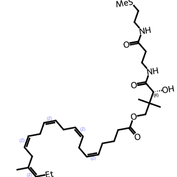 CC/C=C(/C)C/C=C\C/C=C\C/C=C\C/C=C\CCCC(=O)OCC(C)(C)[C@@H](O)C(=O)NCCC(=O)NCCSC